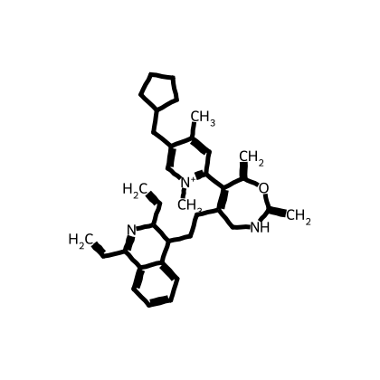 C=CC1=NC(C=C)C(CCC2=C(c3cc(C)c(CC4CCCC4)c[n+]3C)C(=C)OC(=C)NC2)c2ccccc21